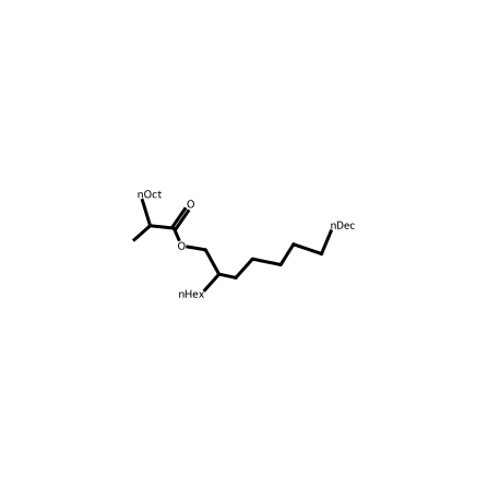 CCCCCCCCCCCCCCCC(CCCCCC)COC(=O)C(C)CCCCCCCC